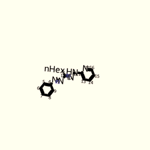 CCCCCCC(/N=N/c1ccccc1)=N\Nc1ccccn1